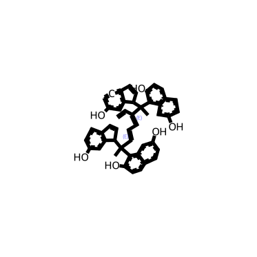 C=C/C(=C\C=C\C(C)(c1c(O)ccc2ccc(O)cc12)C1C=Cc2ccc(O)cc21)C(C)(c1c(O)ccc2ccc(O)cc12)C1C=Cc2ccc(O)cc21